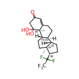 C[C@]12CC[C@H]3[C@@H](CCC4=CC(=O)CC(O)(O)[C@@]43C)[C@@H]1CC[C@H]2C(F)(F)C(F)(F)F